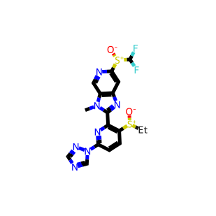 CC[S+]([O-])c1ccc(-n2cncn2)nc1-c1nc2cc([S+]([O-])C(F)F)ncc2n1C